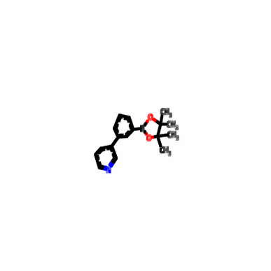 CC1(C)OB(c2cccc(-c3cccnc3)c2)OC1(C)C